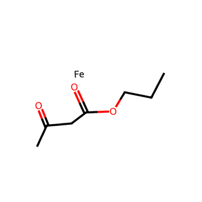 CCCOC(=O)CC(C)=O.[Fe]